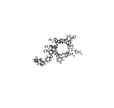 CCCCC1CN(C)C(=O)[C@H](Cc2ccccc2)CC(=O)N(Cc2ccc(Cl)cc2Oc2ccc(-c3cnc(CN4CCCC4)n3C)cc2)C(CCCN)C(=O)NC(COC)C(=O)N(C)C(Cc2ccc(Cl)cc2)CC(=O)N1